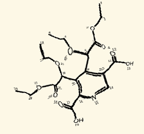 CCOC(=O)C(OCC)c1c(C(=O)O)cnc(C(=O)O)c1C(OCC)C(=O)OCC